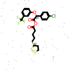 O=C(CCCC[C@@H]1CCSS1)OC(=O)[C@H](Oc1cccc(C(F)(F)F)c1)c1ccc(Cl)cc1